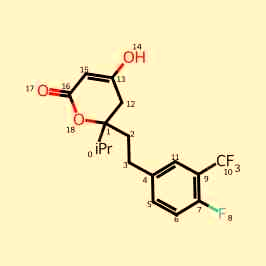 CC(C)C1(CCc2ccc(F)c(C(F)(F)F)c2)CC(O)=CC(=O)O1